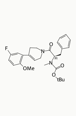 COc1ccc(F)cc1C1=CCN(C(=O)[C@@H](Cc2ccccc2)N(C)C(=O)OC(C)(C)C)CC1